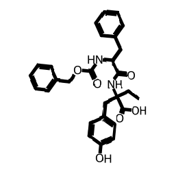 CCC(Cc1ccc(O)cc1)(NC(=O)C(Cc1ccccc1)NC(=O)OCc1ccccc1)C(=O)O